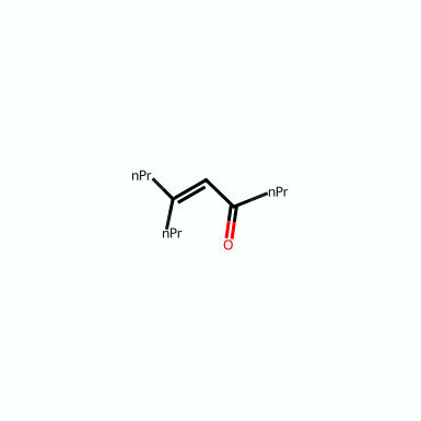 CCCC(=O)C=C(CCC)CCC